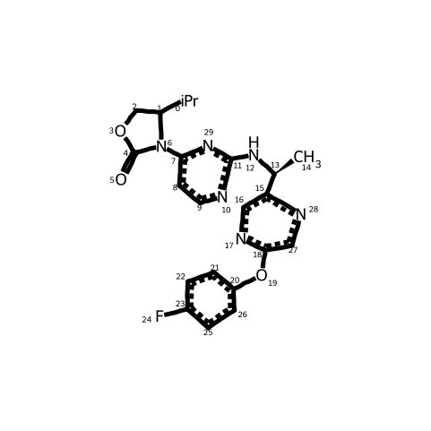 CC(C)C1COC(=O)N1c1ccnc(N[C@@H](C)c2cnc(Oc3ccc(F)cc3)cn2)n1